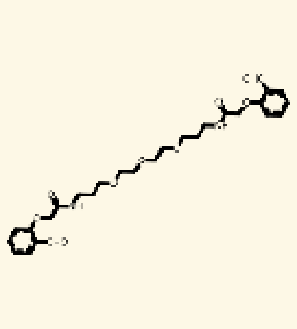 O=Cc1ccccc1OCC(=O)NCCCOCCOCCOCCCNC(=O)COc1ccccc1C=O